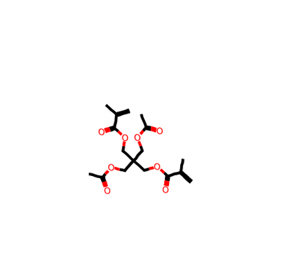 C=C(C)C(=O)OCC(COC(C)=O)(COC(C)=O)COC(=O)C(=C)C